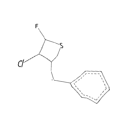 FC1SC([CH]c2ccccc2)C1Cl